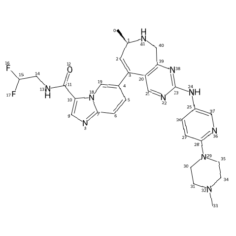 C[C@@H]1C=C(c2ccc3ncc(C(=O)NCC(F)F)n3c2)c2cnc(Nc3ccc(N4CCN(C)CC4)nc3)nc2CN1